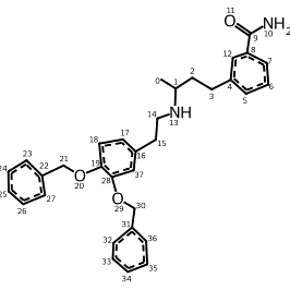 CC(CCc1cccc(C(N)=O)c1)NCCc1ccc(OCc2ccccc2)c(OCc2ccccc2)c1